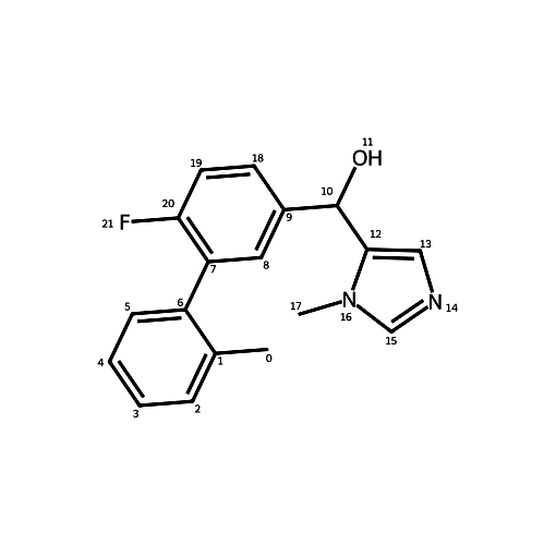 Cc1ccccc1-c1cc(C(O)c2cncn2C)ccc1F